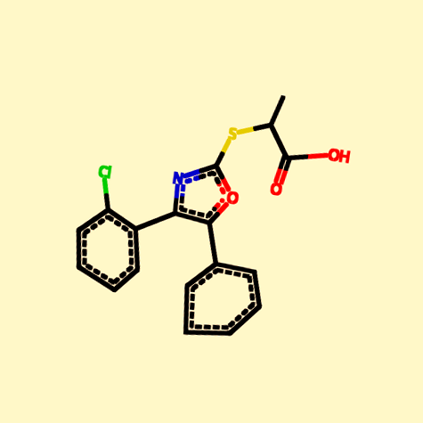 CC(Sc1nc(-c2ccccc2Cl)c(-c2ccccc2)o1)C(=O)O